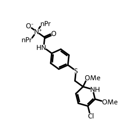 CCC[N+]([O-])(CCC)C(=O)Nc1ccc(SCC2(OC)C=CC(Cl)=C(OC)N2)cc1